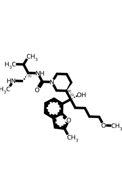 CNC[C@@H](NC(=O)N1CCC[C@@H]([C@@](O)(CCCCOC)c2cccc3cc(C)oc23)C1)C(C)C